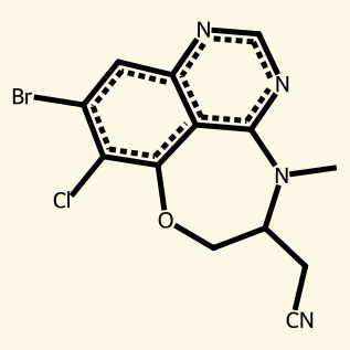 CN1c2ncnc3cc(Br)c(Cl)c(c23)OCC1CC#N